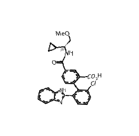 COC[C@@H](NC(=O)c1ccc(-c2c(Cl)cccc2-c2nc3ccccc3[nH]2)c(C(=O)O)c1)C1CC1